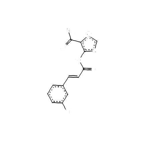 NC(=O)c1[nH]cnc1OC(=O)C=Cc1cccc(C(F)(F)F)c1